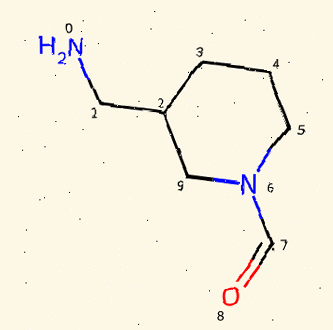 NCC1CCCN([C]=O)C1